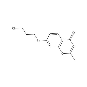 Cc1cc(=O)c2ccc(OCCCCl)cc2o1